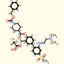 CN(C)CCNc1cc(S(C)(=O)=O)ccc1-c1ccc2c(c1)COC(C1CCN(C(=O)OCc3ccccc3)CC1)O2.O=C(O)C(F)(F)F